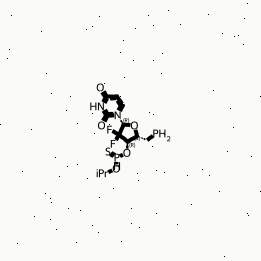 CC(C)O[PH](=S)O[C@@H]1[C@@H](CP)O[C@@H](n2ccc(=O)[nH]c2=O)C1(F)F